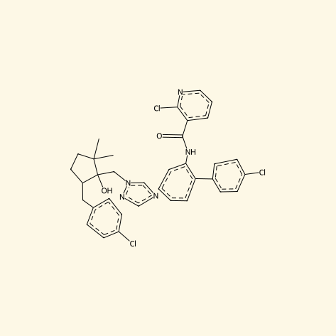 CC1(C)CCC(Cc2ccc(Cl)cc2)C1(O)Cn1cncn1.O=C(Nc1ccccc1-c1ccc(Cl)cc1)c1cccnc1Cl